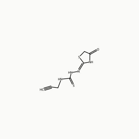 C#CCNC(=S)NN=C1NC(=O)CS1